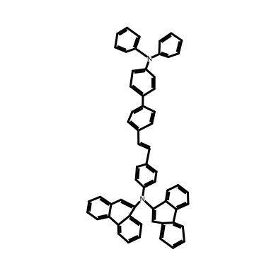 C(=C\c1ccc(N(c2cc3ccccc3c3ccccc23)c2cc3ccccc3c3ccccc23)cc1)/c1ccc(-c2ccc(N(c3ccccc3)c3ccccc3)cc2)cc1